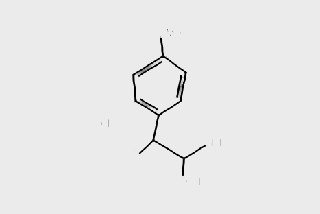 COc1ccc(C(C)C(N)C(=O)O)cc1.Cl